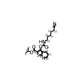 CC(C)OC(=O)c1sc2ncccc2c1OC(=O)NCCCCCC#N